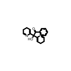 O=C(c1ccccc1)C(O)(C1=CCCC=N1)C1=CCCC=N1